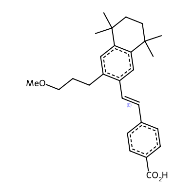 COCCCc1cc2c(cc1/C=C/c1ccc(C(=O)O)cc1)C(C)(C)CCC2(C)C